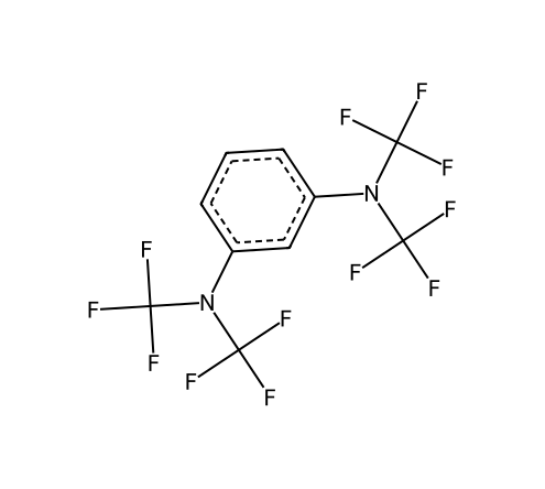 FC(F)(F)N(c1cccc(N(C(F)(F)F)C(F)(F)F)c1)C(F)(F)F